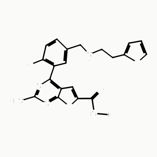 CCNC(=O)c1cc2c(-c3cc(CNCCc4cccs4)ccc3C)nc(N)nc2s1